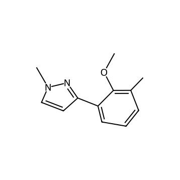 COc1c(C)cccc1-c1ccn(C)n1